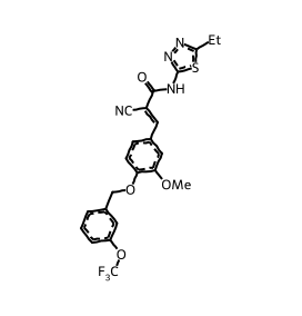 CCc1nnc(NC(=O)/C(C#N)=C/c2ccc(OCc3cccc(OC(F)(F)F)c3)c(OC)c2)s1